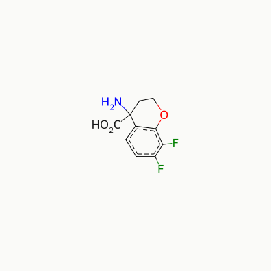 NC1(C(=O)O)CCOc2c1ccc(F)c2F